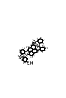 C[Si](C)(C)c1ccccc1N(c1ccccc1)c1ccc2ccc3c(N(c4cccc(C#N)c4)c4ccccc4[Si](C)(C)C)ccc4ccc1c2c43